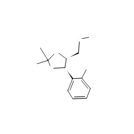 CCCCOC[C@@H]1OC(C)(C)O[C@@H]1c1ccccc1Cl